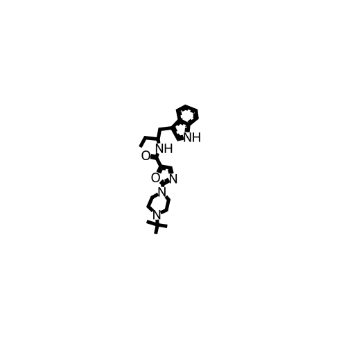 CCC(Cc1c[nH]c2ccccc12)NC(=O)c1cnc(N2CCN(C(C)(C)C)CC2)o1